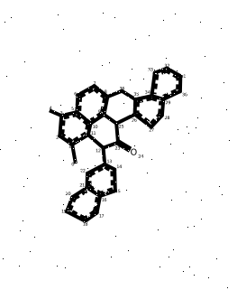 Cc1cc(C)c2ccc3c4c2c1C(c1ccc2ccccc2c1)C(=O)C4c1ccc2ccccc2c1C3